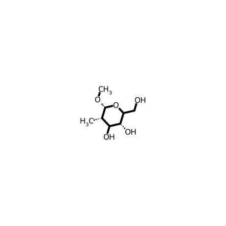 CO[C@@H]1OC(CO)[C@H](O)C(O)[C@@H]1C